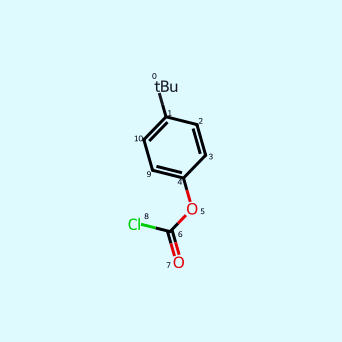 CC(C)(C)c1ccc(OC(=O)Cl)cc1